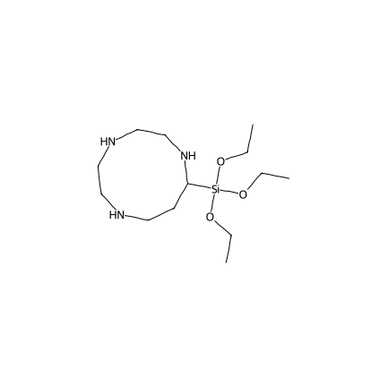 CCO[Si](OCC)(OCC)C1CCNCCNCCN1